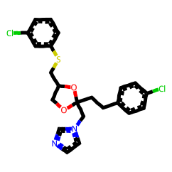 Clc1ccc(CCC2(Cn3ccnc3)OCC(CSc3cccc(Cl)c3)O2)cc1